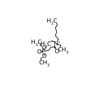 CCCCCC[N+](CC)(CC)C(=O)CCP(=O)(OCC)OCC